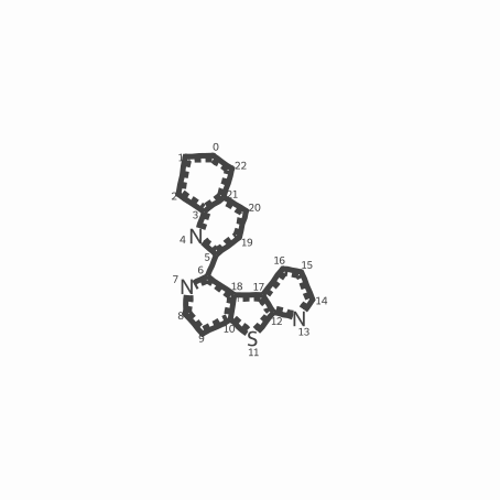 c1ccc2nc(-c3nccc4sc5ncccc5c34)ccc2c1